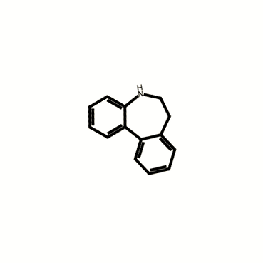 c1ccc2c(c1)CCNc1ccccc1-2